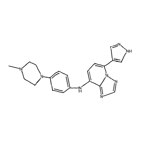 CN1CCN(c2ccc(Nc3ccc(-c4cn[nH]c4)n4ncnc34)cc2)CC1